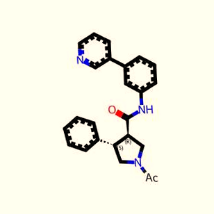 CC(=O)N1C[C@H](C(=O)Nc2cccc(-c3cccnc3)c2)[C@@H](c2ccccc2)C1